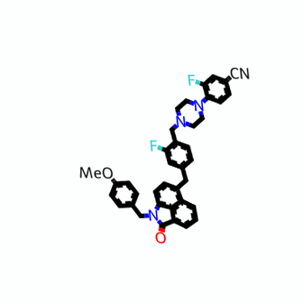 COc1ccc(CN2C(=O)c3cccc4c(Cc5ccc(CN6CCN(c7ccc(C#N)cc7F)CC6)c(F)c5)ccc2c34)cc1